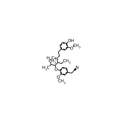 CCC(C(Oc1ccc(CC#N)cc1OC)C(C)C)N(C)CCc1ccc(O)c(OC)c1